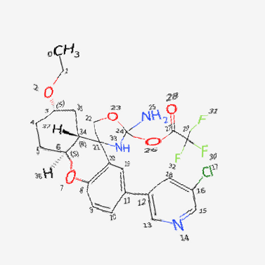 CCO[C@H]1CC[C@@H]2Oc3ccc(-c4cncc(Cl)c4)cc3C3(COC(N)(OC(=O)C(F)(F)F)N3)[C@H]2C1